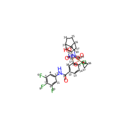 O=C(Nc1cc(F)c(F)c(F)c1)c1ccc(Cl)c(S(=O)(=O)C2CC3CCC(C2)C3(O)CNS(=O)(=O)C2CC2)c1